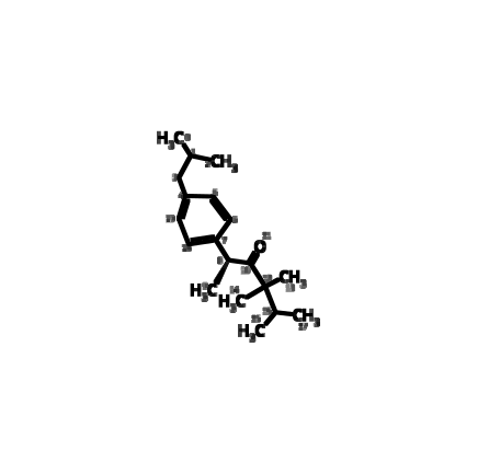 CC(C)Cc1ccc([C@H](C)C(=O)C(C)(C)C(C)C)cc1